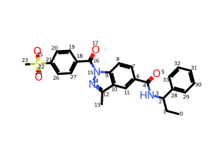 CCC(NC(=O)c1ccc2c(c1)c(C)nn2C(=O)c1ccc(S(C)(=O)=O)cc1)c1ccccc1